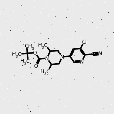 CC1CN(c2cnc(C#N)c(Cl)c2)CC(C)N1C(=O)OC(C)(C)C